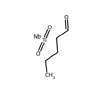 CCCCC=O.[Nb].[O]=[Ti]=[O]